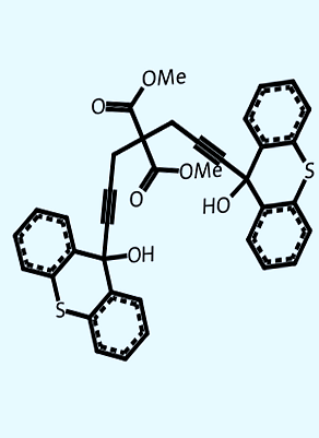 COC(=O)C(CC#CC1(O)c2ccccc2Sc2ccccc21)(CC#CC1(O)c2ccccc2Sc2ccccc21)C(=O)OC